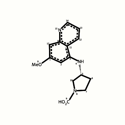 COc1cc(N[C@@H]2CCN(C(=O)O)C2)c2cccnc2c1